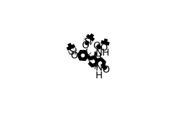 CC(C)(C)OC(=O)NC[C@@H]1[C@@H]([C@@]2(C)CCC(O[Si](C)(C)C(C)(C)C)C[C@@H]2CO[Si](C)(C)C(C)(C)C)CC[C@]2(C)NC(=O)CC[C@@H]12